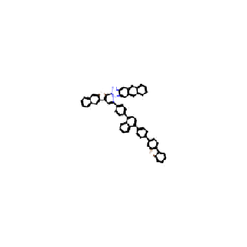 c1ccc2cc3cc4c(cc3cc2c1)nc1c2sc3cc5ccccc5cc3c2cc(-c2ccc(-c3ccc(-c5ccc(-c6ccc7c(c6)sc6ccccc67)cc5)c5ccccc35)cc2)n41